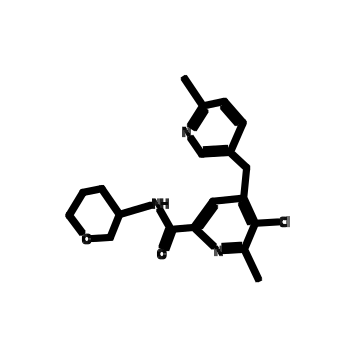 Cc1ccc(Cc2cc(C(=O)NC3CCCOC3)nc(C)c2Cl)cn1